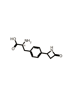 N[C@@H](Cc1ccc(C2CC(=O)N2)cc1)C(=O)O